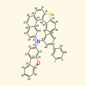 c1ccc(-c2cccc(N(c3ccc4c(c3)oc3ccccc34)c3ccc4ccc5ccc6sc7ccccc7c6c5c4c3)c2)cc1